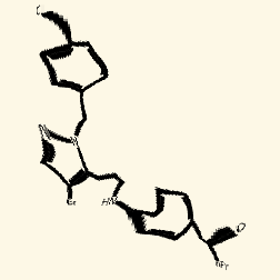 CCCC(=O)c1ccc(NCc2c(Br)cnn2Cc2ccc(Cl)cc2)cc1